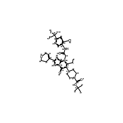 CCc1c(N2CCN(C(=O)OC(C)(C)C)CC2)c(=O)n2nc(C3=CCOCC3)nc2n1CC(=O)Nc1cnc(C(F)(F)F)cc1Cl